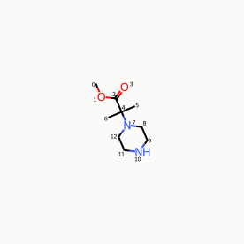 COC(=O)C(C)(C)N1CCNCC1